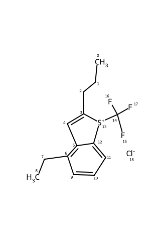 CCCc1cc2c(CC)cccc2[s+]1C(F)(F)F.[Cl-]